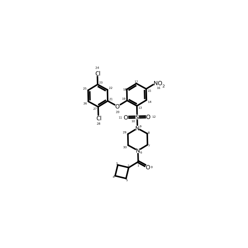 O=C(C1CCC1)N1CCN(S(=O)(=O)c2cc([N+](=O)[O-])ccc2Oc2cc(Cl)ccc2Cl)CC1